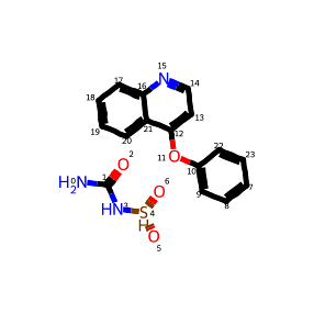 NC(=O)N[SH](=O)=O.c1ccc(Oc2ccnc3ccccc23)cc1